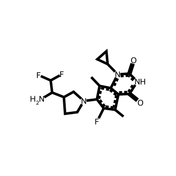 Cc1c(F)c(N2CCC(C(N)C(F)F)C2)c(C)c2c1c(=O)[nH]c(=O)n2C1CC1